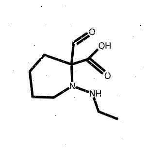 CCNN1CCCCC1(C=O)C(=O)O